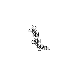 Cc1ccc2cc(-c3nc4cc5c(cc4n3C)CCN(C[C@@H](C)NC(=O)OC(C)(C)C)C5=O)n(CC3CC3)c2c1C